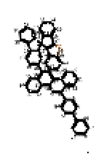 c1ccc(-c2ccc(-c3cc4c5ccccc5c(-c5ccc6c(c5)C5(c7ccccc7-6)c6ccccc6-c6sc7ccccc7c65)cc4c4ccccc34)cc2)cc1